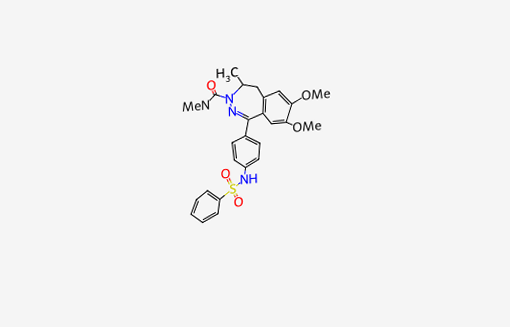 CNC(=O)N1N=C(c2ccc(NS(=O)(=O)c3ccccc3)cc2)c2cc(OC)c(OC)cc2CC1C